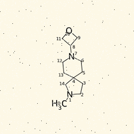 CN1CCC2(CCN(C3COC3)CC2)C1